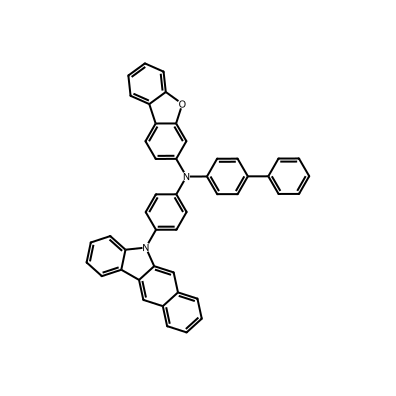 c1ccc(-c2ccc(N(c3ccc(-n4c5ccccc5c5cc6ccccc6cc54)cc3)c3ccc4c(c3)oc3ccccc34)cc2)cc1